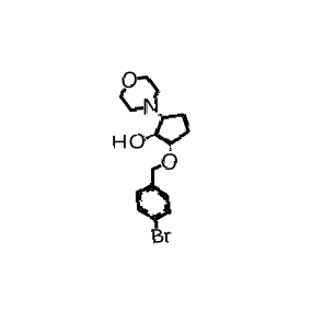 O[C@@H]1[C@@H](OCc2ccc(Br)cc2)CC[C@H]1N1CCOCC1